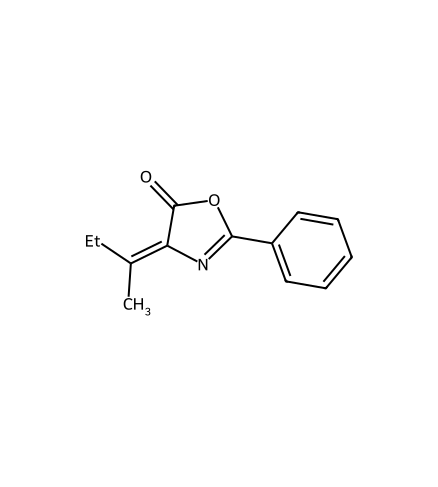 CC/C(C)=C1/N=C(c2ccccc2)OC1=O